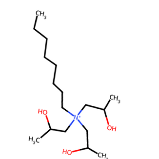 CCCCCCCC[N+](CC(C)O)(CC(C)O)CC(C)O